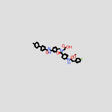 COc1cc(F)ccc1CC(=O)Nc1ccc(C(=O)N(CC(=O)O)Cc2ccc(-c3noc(-c4ccc(-c5ccc(C)cc5)cc4)n3)cc2)cc1